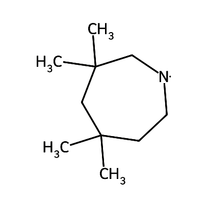 CC1(C)CC[N]CC(C)(C)C1